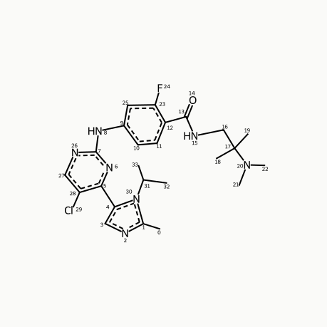 Cc1ncc(-c2nc(Nc3ccc(C(=O)NCC(C)(C)N(C)C)c(F)c3)ncc2Cl)n1C(C)C